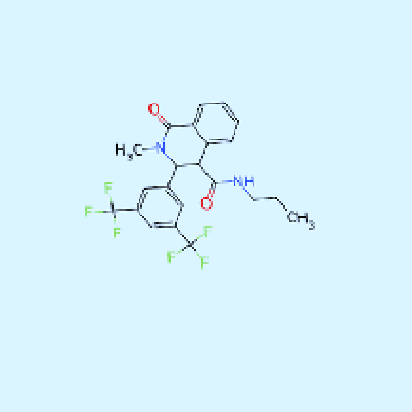 CCCNC(=O)C1c2ccccc2C(=O)N(C)C1c1cc(C(F)(F)F)cc(C(F)(F)F)c1